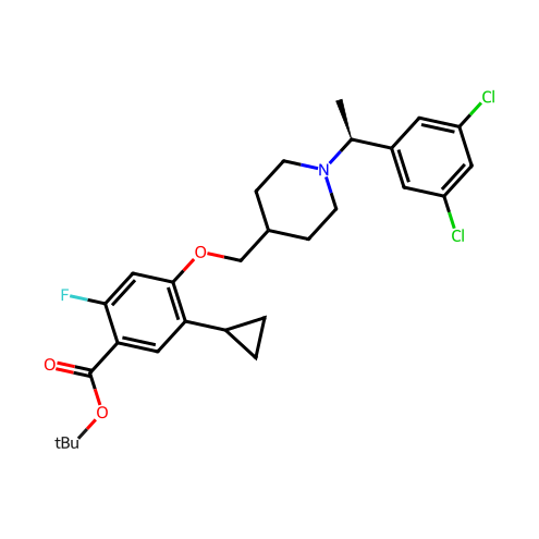 C[C@@H](c1cc(Cl)cc(Cl)c1)N1CCC(COc2cc(F)c(C(=O)OC(C)(C)C)cc2C2CC2)CC1